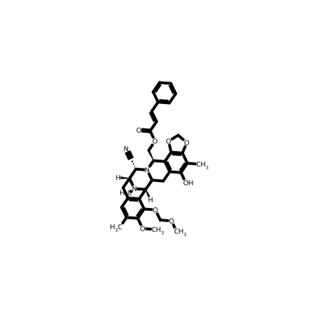 COCOc1c(OC)c(C)cc2c1[C@H]1C3Cc4c(O)c(C)c5c(c4[C@H](COC(=O)/C=C/c4ccccc4)N3[C@@H](C#N)[C@@H](C2)N1C)OCO5